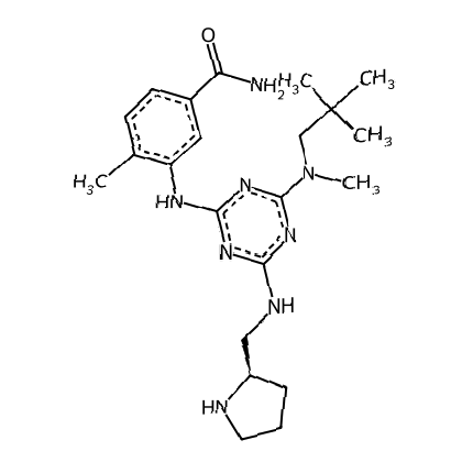 Cc1ccc(C(N)=O)cc1Nc1nc(NC[C@H]2CCCN2)nc(N(C)CC(C)(C)C)n1